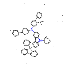 CC1(C)c2ccccc2-c2ccc(N(C3=CC=C(c4ccccc4)CC3)c3ccc4c(c3)c3cc(C5(c6ccccc6)c6ccccc6-c6ccccc65)ccc3n4-c3ccccc3)cc21